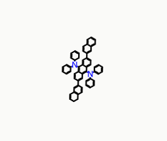 C1=CCC(N(c2ccccc2)c2c3ccc(-c4ccc5c(c4)C=CCC5)cc3c(N(c3ccccc3)c3ccccc3)c3ccc(-c4ccc5ccccc5c4)cc23)C=C1